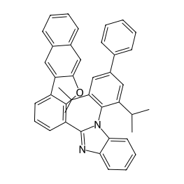 CC(C)c1cc(-c2ccccc2)cc(C(C)C)c1-n1c(-c2cccc3c2oc2cc4ccccc4cc23)nc2ccccc21